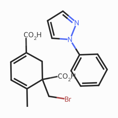 CC1=CC=C(C(=O)O)CC1(CBr)C(=O)O.c1ccc(-n2cccn2)cc1